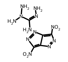 NN=C(N)N(N)N.O=[N+]([O-])C1=C2N=NC([N+](=O)[O-])=C2N=N1